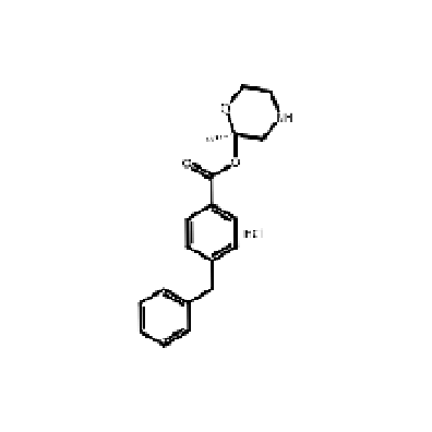 C[C@@]1(OC(=O)c2ccc(Cc3ccccc3)cc2)CNCCO1.Cl